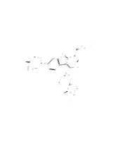 NC(=O)C1C=NC(N2CCC[C@@]3(CCNC3=O)C2)=C2C1=Nc1cc(C3CCC(=O)NC3)ccc12